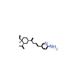 C=C[C@]1(C)CC[C@@H](C(=C)C/C=C/c2ccc(N)nc2)C[C@H]1C(=C)C